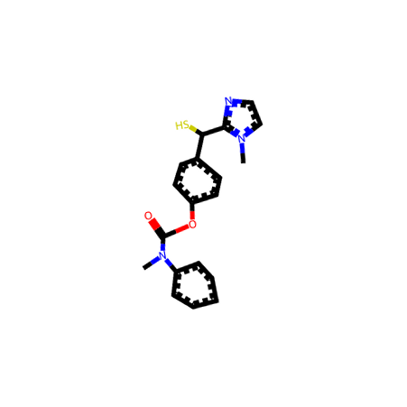 CN(C(=O)Oc1ccc(C(S)c2nccn2C)cc1)c1ccccc1